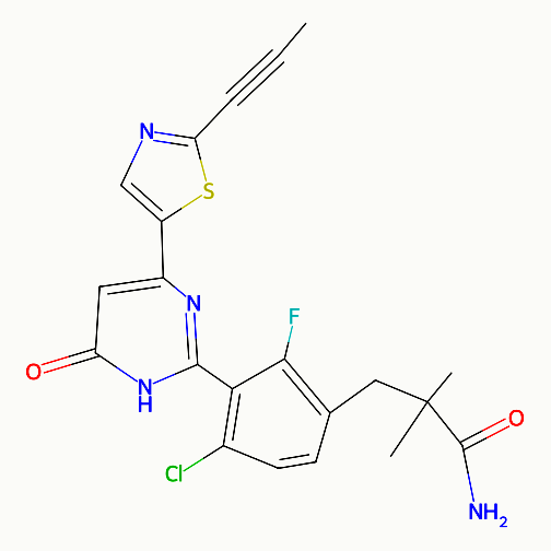 CC#Cc1ncc(-c2cc(=O)[nH]c(-c3c(Cl)ccc(CC(C)(C)C(N)=O)c3F)n2)s1